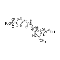 CC(O)c1nc(CO)sc1-c1csc(NC(=O)Cc2ccc(S(=O)(=O)C(F)(F)F)cc2)n1